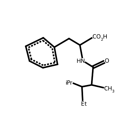 CCC(C(C)C)C(C)C(=O)NC(Cc1ccccc1)C(=O)O